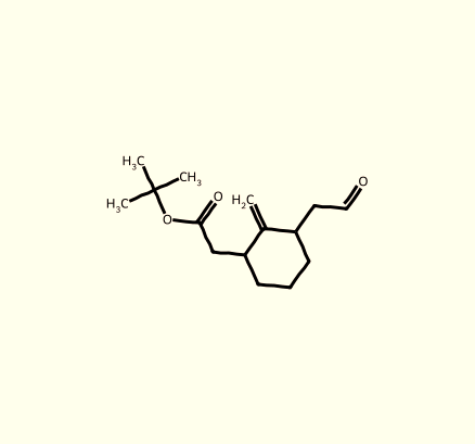 C=C1C(CC=O)CCCC1CC(=O)OC(C)(C)C